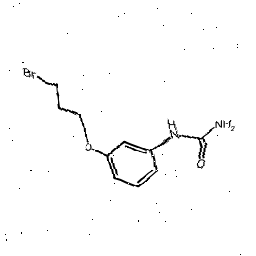 NC(=O)Nc1cccc(OCCCBr)c1